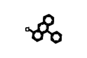 Clc1cccc2c(-c3ccccc3)c3ccccc3cc12